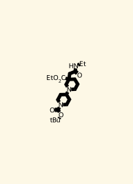 CCNC(=O)CC1(C(=O)OCC)CCCN(C2CCN(C(=O)OC(C)(C)C)CC2)C1